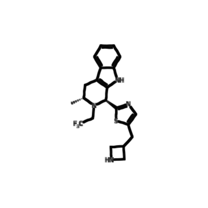 C[C@@H]1Cc2c([nH]c3ccccc23)[C@@H](c2ncc(CC3CNC3)s2)N1CC(F)(F)F